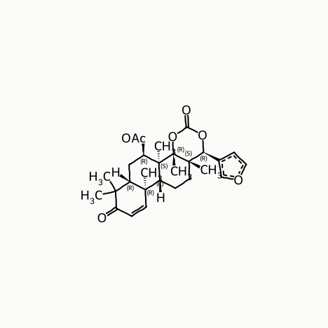 CC(=O)O[C@@H]1C[C@H]2C(C)(C)C(=O)C=C[C@]2(C)[C@H]2CC[C@@]3(C)[C@H](c4ccoc4)OC(=O)O[C@@]3(C)[C@@]21C